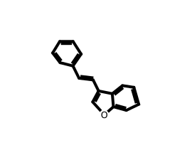 C(=Cc1coc2ccccc12)c1ccccc1